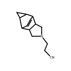 N#CCCN1CC2C3C=CC(C4CC34)C2C1